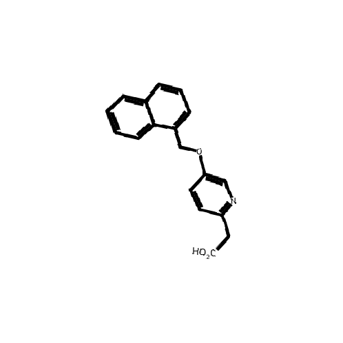 O=C(O)Cc1ccc(OCc2cccc3ccccc23)cn1